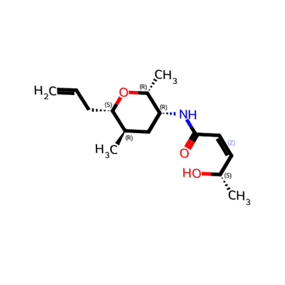 C=CC[C@@H]1O[C@H](C)[C@H](NC(=O)/C=C\[C@H](C)O)C[C@H]1C